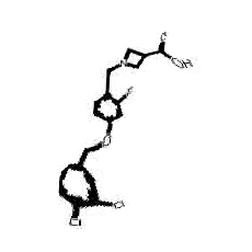 O=C(O)C1CN(Cc2ccc(OCc3ccc(Cl)c(Cl)c3)cc2F)C1